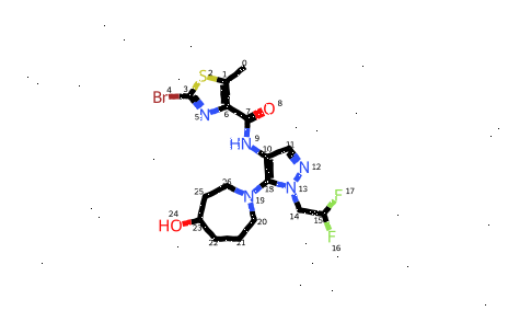 Cc1sc(Br)nc1C(=O)Nc1cnn(CC(F)F)c1N1CCCC(O)CC1